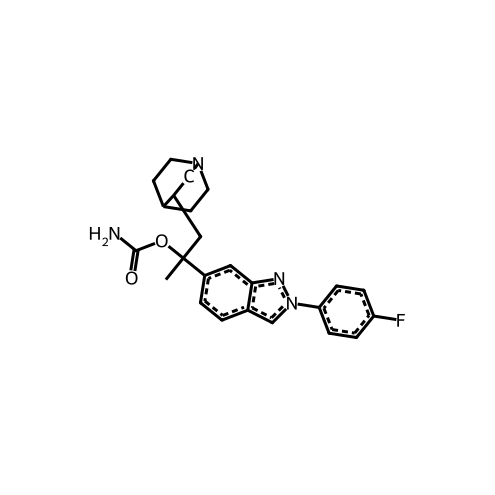 CC(CC1CN2CCC1CC2)(OC(N)=O)c1ccc2cn(-c3ccc(F)cc3)nc2c1